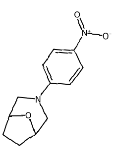 O=[N+]([O-])c1ccc(N2CC3CCC(C2)O3)cc1